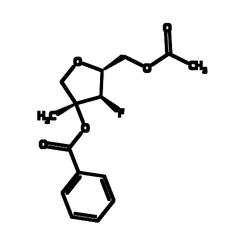 CC(=O)OC[C@H]1OC[C@](C)(OC(=O)c2ccccc2)[C@@H]1F